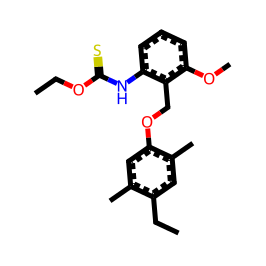 CCOC(=S)Nc1cccc(OC)c1COc1cc(C)c(CC)cc1C